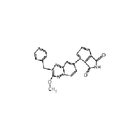 COc1nc2ccc(-c3cccc4c3C(=O)NC4=O)cc2cc1Cc1ccccc1